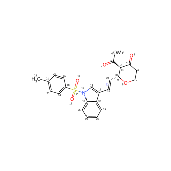 COC(=O)[C@H]1C(=O)CCO[C@@H]1/C=C/c1cn(S(=O)(=O)c2ccc(C)cc2)c2ccccc12